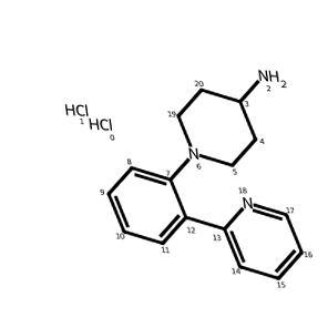 Cl.Cl.NC1CCN(c2ccccc2-c2ccccn2)CC1